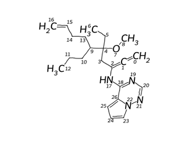 C=C=C(CC(CC)(OC)C(CCC)CCC=C)Nc1ncnn2cccc12